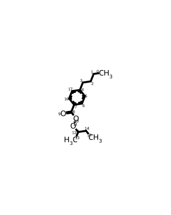 CCCCc1ccc(C(=O)OO[C](C)CC)cc1